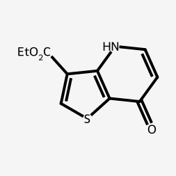 CCOC(=O)c1csc2c(=O)cc[nH]c12